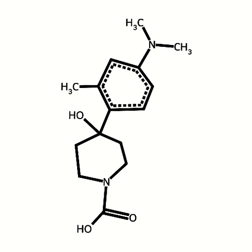 Cc1cc(N(C)C)ccc1C1(O)CCN(C(=O)O)CC1